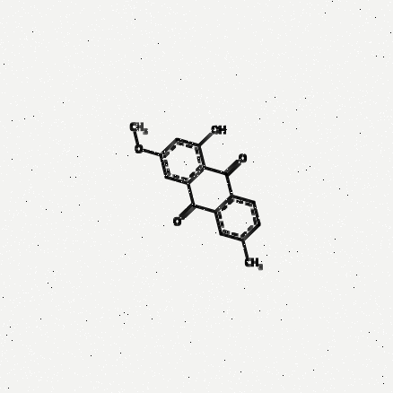 COc1cc(O)c2c(c1)C(=O)c1cc(C)ccc1C2=O